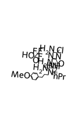 CCC[C@H](CNC(=O)c1nc(Cl)c(N)nc1N)N(CCCc1ccc(OC)cc1)C(=N)N.O=C(O)C(F)(F)F